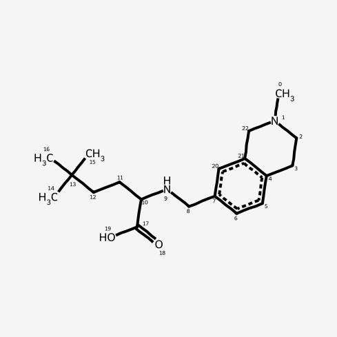 CN1CCc2ccc(CNC(CCC(C)(C)C)C(=O)O)cc2C1